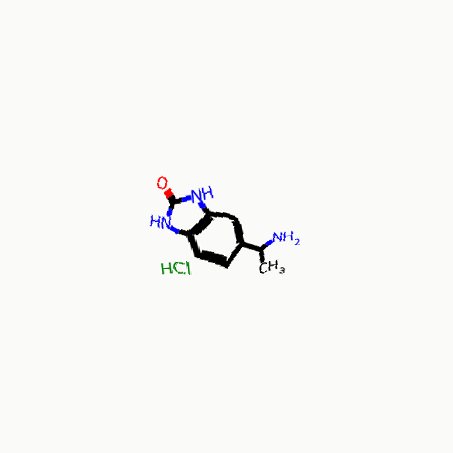 CC(N)c1ccc2[nH]c(=O)[nH]c2c1.Cl